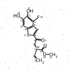 C=C[C@@H](CC(=O)c1cc2c(F)c(O)c(O)cc2s1)C(=O)OC